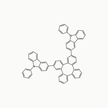 c1ccc(-n2c3ccccc3c3cc(-c4ccc5c(c4)-c4ccc(-c6ccc7c(c6)c6ccccc6n7-c6ccccc6)cc4-c4ccccc4-c4ccccc4-5)ccc32)cc1